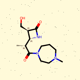 C[C@@H](C(=O)N1CCCN(C)CC1)[C@H]1NC(=O)[C@@H]1CO